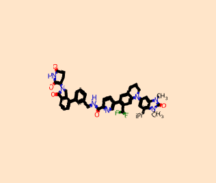 CC(C)c1cc(N2CCCc3cc(-c4ccc(C(=O)NCc5cccc(-c6cccc7c6CN(C6CCC(=O)NC6=O)C7=O)c5)nc4)c(C(F)F)cc32)cc2c1n(C)c(=O)n2C